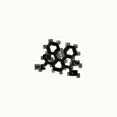 CC(C)c1ccc(C(C)C)c(-c2ccccc2)c1-c1ccccc1